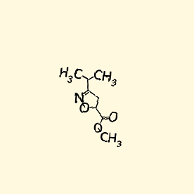 COC(=O)C1CC(C(C)C)=NO1